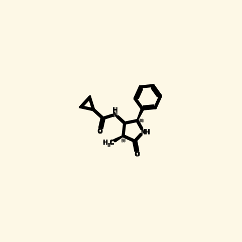 C[C@@H]1C(=O)N[C@H](c2ccccc2)C1NC(=O)C1CC1